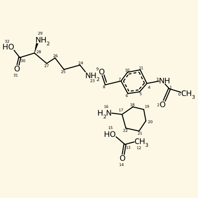 CC(=O)Nc1ccc(C=O)cc1.CC(=O)O.NC1CCCCC1.NCCCC[C@H](N)C(=O)O